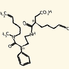 C=CCCC[C@H](CC(=O)O)C(=O)NCC[C@H](C(=O)N(C)CCCC=C)c1ccccc1